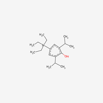 CC[Si](CC)(CC)c1cc(C(C)C)c(O)c(C(C)C)c1